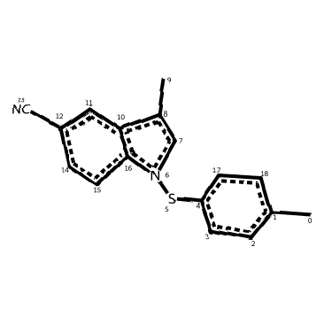 Cc1ccc(Sn2cc(C)c3cc(C#N)ccc32)cc1